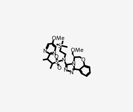 COC[C@H]1COc2ccccc2-c2nnc(N(CC[Si](C)(C)C)S(=O)(=O)C(C)C(C)c3ncc(OC)cn3)n21